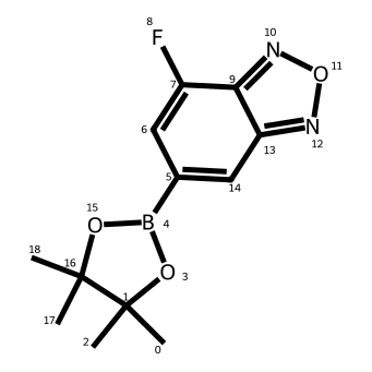 CC1(C)OB(c2cc(F)c3nonc3c2)OC1(C)C